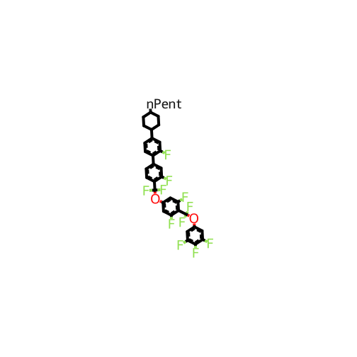 CCCCCC1CCC(c2ccc(-c3ccc(C(F)(F)Oc4cc(F)c(C(F)(F)Oc5cc(F)c(F)c(F)c5)c(F)c4)c(F)c3)c(F)c2)CC1